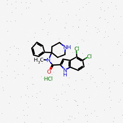 CN(C(=O)c1cc2c(Cl)c(Cl)ccc2[nH]1)C1(c2ccccc2)CCNCC1.Cl